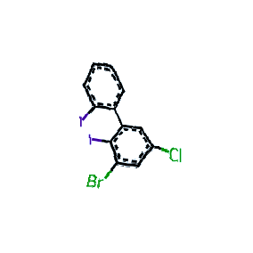 Clc1cc(Br)c(I)c(-c2ccccc2I)c1